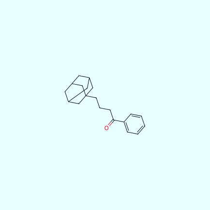 O=C(CCCC12CC3CC(CC(C3)C1)C2)c1ccccc1